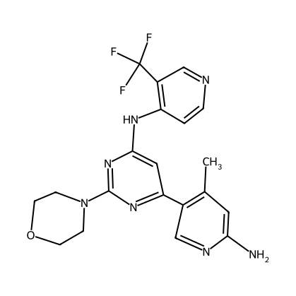 Cc1cc(N)ncc1-c1cc(Nc2ccncc2C(F)(F)F)nc(N2CCOCC2)n1